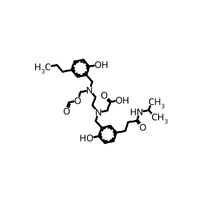 CCCc1ccc(O)c(CN(CCN(CC(=O)O)Cc2cc(CCC(=O)NC(C)C)ccc2O)COC=O)c1